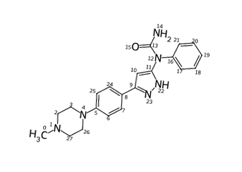 CN1CCN(c2ccc(-c3cc(N(C(N)=O)c4ccccc4)[nH]n3)cc2)CC1